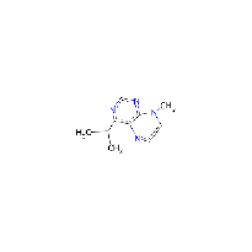 CC(C)c1ncnc2c1N=C=CN2C